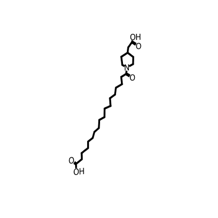 O=C(O)CCCCCCCCCCCCCCCCC(=O)N1CCC(CC(=O)O)CC1